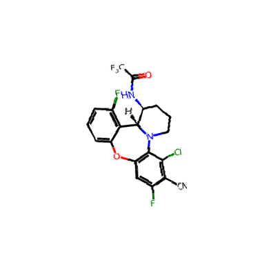 N#Cc1c(F)cc2c(c1Cl)N1CCC[C@H](NC(=O)C(F)(F)F)[C@H]1c1c(F)cccc1O2